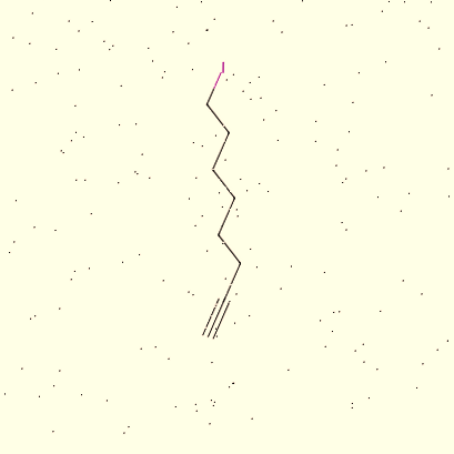 C#CCCCCCCI